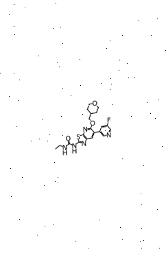 CCNC(=O)Nc1nc2cc(-c3cncc(F)c3)c(OCC3CCOCC3)nc2s1